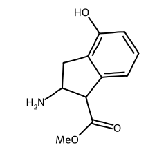 COC(=O)C1c2cccc(O)c2CC1N